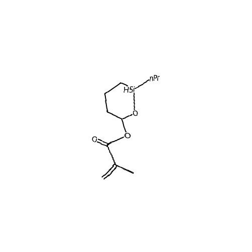 C=C(C)C(=O)OC1CCC[SiH](CCC)O1